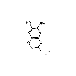 CCOC(=O)C1COc2cc(O)c(C(C)(C)C)cc2O1